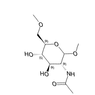 COC[C@H]1OC(OC)[C@H](NC(C)=O)[C@@H](O)[C@@H]1O